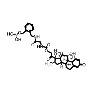 C[C@@H]1C[C@H]2[C@@H]3CCC4=CC(=O)C=C[C@]4(C)[C@@]3(F)[C@@H](O)C[C@]2(C)[C@@]1(O)C(=O)COC(=O)NCC(=O)NCc1ccccc1CON(O)O